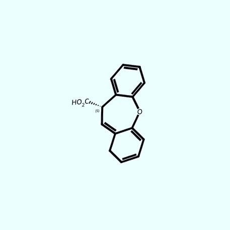 O=C(O)[C@H]1C=C2CC=CC=C2Oc2ccccc21